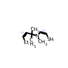 CC/C=C\C(C)(C)N(C)/C=C\S